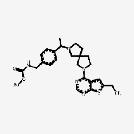 CC(c1ccc(CNC(=O)OC(C)(C)C)cc1)N1CCC2(CCN(c3ncnc4sc(CC(F)(F)F)cc34)C2)C1